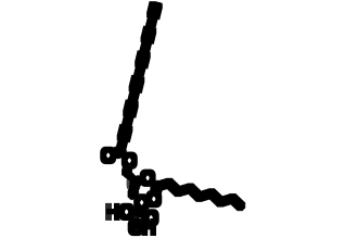 C#CC#CC#CC#CC#CC#CC(=O)OC[C@H](COP(=O)(O)O)OC(=O)CCCCCCCC